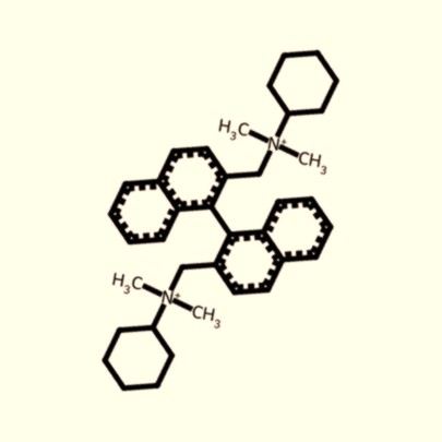 C[N+](C)(Cc1ccc2ccccc2c1-c1c(C[N+](C)(C)C2CCCCC2)ccc2ccccc12)C1CCCCC1